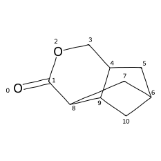 O=C1OCC2CC3CC1C2C3